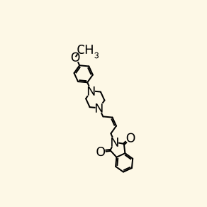 COc1ccc(N2CCN(C/C=C\CN3C(=O)c4ccccc4C3=O)CC2)cc1